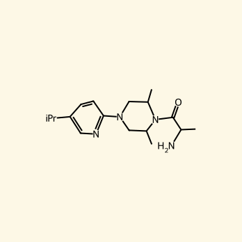 CC(N)C(=O)N1C(C)CN(c2ccc(C(C)C)cn2)CC1C